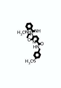 CNc1ccccc1C(=N)N1CCOc2nc(C(=O)NCc3ccc(SC)cc3)ccc21